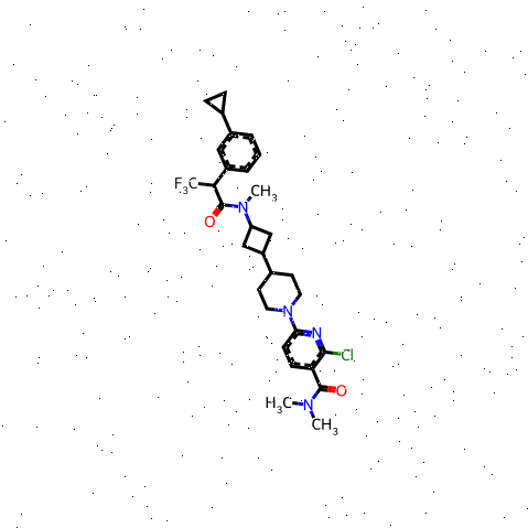 CN(C)C(=O)c1ccc(N2CCC(C3CC(N(C)C(=O)C(c4cccc(C5CC5)c4)C(F)(F)F)C3)CC2)nc1Cl